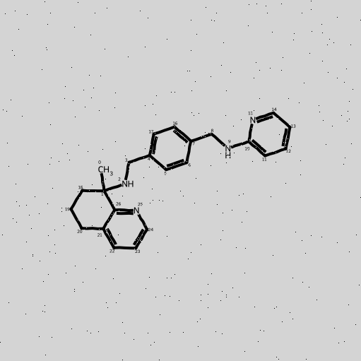 CC1(NCc2ccc(CNc3ccccn3)cc2)CCCc2cccnc21